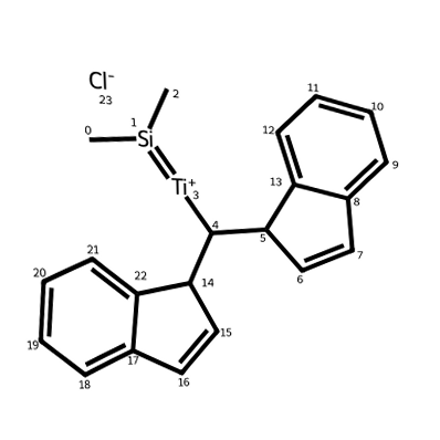 C[Si](C)=[Ti+][CH](C1C=Cc2ccccc21)C1C=Cc2ccccc21.[Cl-]